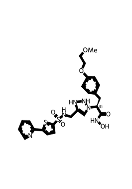 COCCOc1ccc(C[C@@H](C(=O)NO)N2C=C(CNS(=O)(=O)c3ccc(-c4ccccn4)s3)NN2)cc1